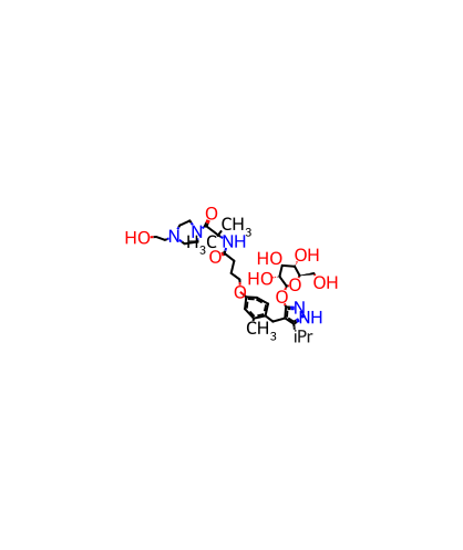 Cc1cc(OCCCC(=O)NC(C)(C)C(=O)N2CCN(CCO)CC2)ccc1Cc1c(O[C@@H]2O[C@H](CO)[C@@H](O)[C@H](O)[C@H]2O)n[nH]c1C(C)C